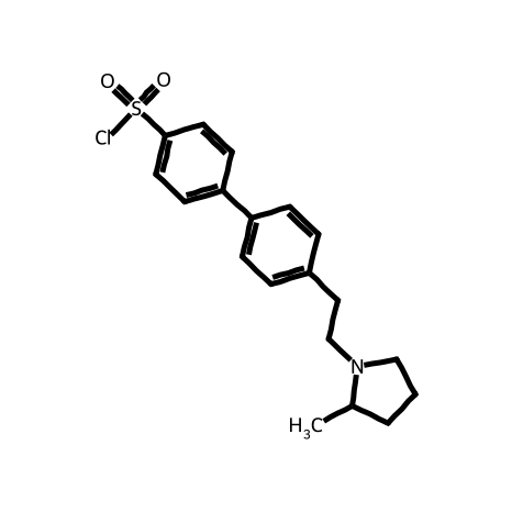 CC1CCCN1CCc1ccc(-c2ccc(S(=O)(=O)Cl)cc2)cc1